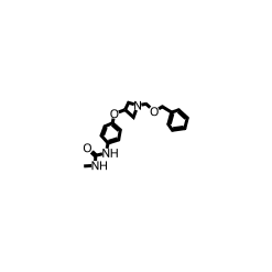 CNC(=O)Nc1ccc(OC2CN(COCc3ccccc3)C2)cc1